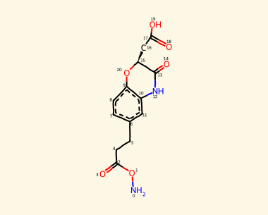 NOC(=O)CCc1ccc2c(c1)NC(=O)[C@H](CC(=O)O)O2